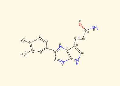 CC(=O)c1ccc(-c2cnc3[nH]cc(/C=C/C(N)=O)c3n2)cc1C